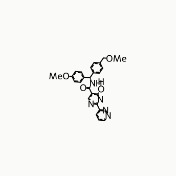 COCc1ccc([C@@H](NC(=O)c2cnc(-c3cccnn3)nc2O)c2ccc(OC)cc2)cc1